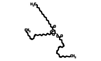 CCCCC/C=C\C/C=C\C/C=C\C/C=C\CCCC(=O)OC[C@@H](COC(=O)CCCCCCCCCCCCCCC)OC(=O)CCCCCCC/C=C\C/C=C\CCCCC